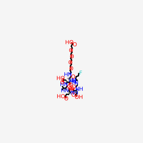 CC(C)[C@H](NC(=O)[C@H](CCC(=O)O)NC(=O)[C@H](CC(=O)O)NC(=O)Cn1cc(CCCF)nn1)C(=O)N[C@@H](CC(=O)O)C(=O)N[C@H](C)C(=O)NCCOCCOCCOCCOCCC(=O)O